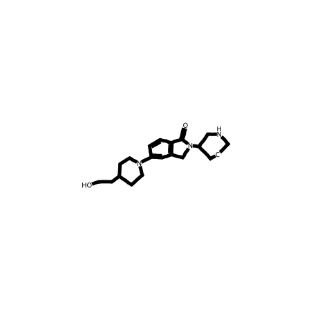 O=C1c2ccc(N3CCC(CCO)CC3)cc2CN1C1CCCNC1